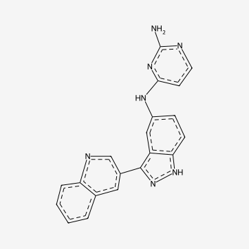 Nc1nccc(Nc2ccc3[nH]nc(-c4cnc5ccccc5c4)c3c2)n1